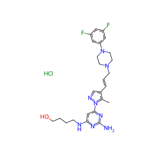 Cc1c(/C=C/CN2CCN(c3cc(F)cc(F)c3)CC2)cnn1-c1cc(NCCCCO)nc(N)n1.Cl